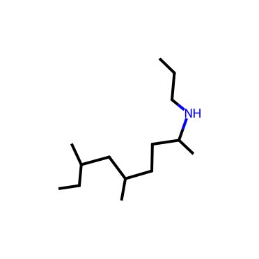 CCCNC(C)CCC(C)CC(C)CC